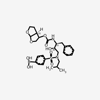 CC(C)CN(C[C@@H](O)[C@H](Cc1ccccc1)NC(=O)OC1COC2OCC[C@@H]12)S(=O)(=O)c1ccc(B(O)O)cc1